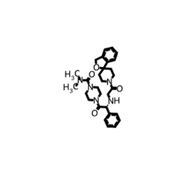 CN(C)C(=O)N1CCN(C(=O)[C@H](NCC(=O)N2CCC3(CC2)OCc2ccccc23)c2ccccc2)CC1